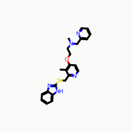 Cc1c(OCCN(C)Cc2ccccn2)ccnc1CSc1nc2ccccc2[nH]1